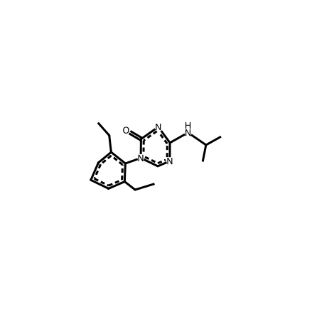 CCc1cccc(CC)c1-n1cnc(NC(C)C)nc1=O